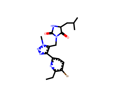 CCc1nc(-c2nnn(C)c2CN2C(=O)NC(CC(C)C)C2=O)ccc1Br